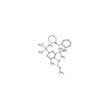 COCOc1c(C)cc(C(C)(C)C)cc1C(C)(C)Pc1ccccc1CN1CCCCC1